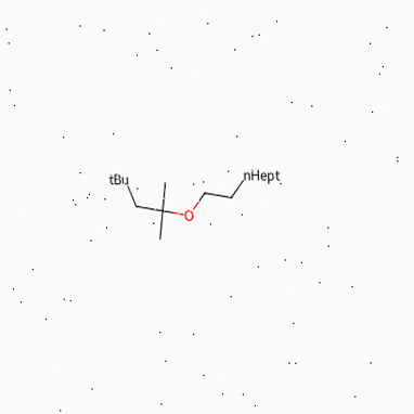 CCCCCCCCCOC(C)(C)CC(C)(C)C